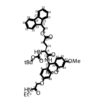 CCNC(=O)COc1ccc(C(NC(=O)[C@H](CCC(=O)OCC2c3ccccc3-c3ccccc32)NC(=O)OC(C)(C)C)c2ccc(OC)cc2OC)cc1